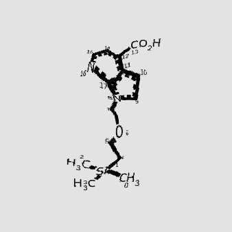 C[Si](C)(C)CCOCn1ccc2c(C(=O)O)ccnc21